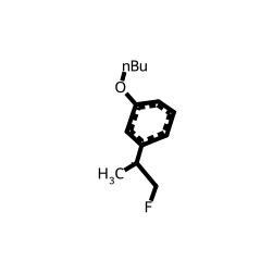 CCCCOc1cccc([C](C)CF)c1